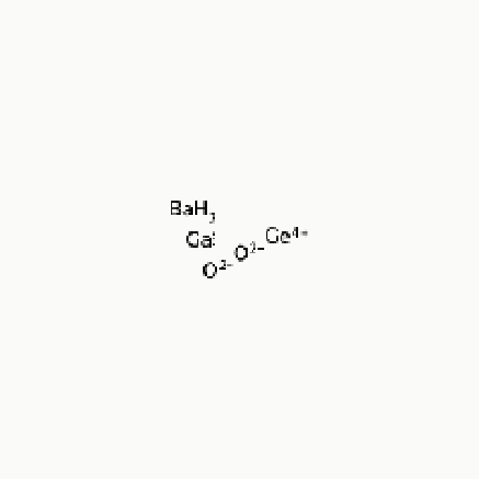 [BaH2].[Ga].[Ge+4].[O-2].[O-2]